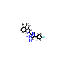 Fc1ccc(-c2c[nH]c(C(CCCC(F)(F)F)NC3CCCCC3)n2)cc1